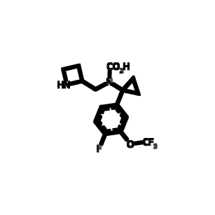 O=C(O)N(CC1CCN1)C1(c2ccc(F)c(OC(F)(F)F)c2)CC1